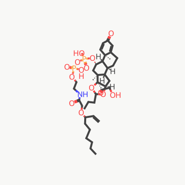 C=CC(CCCCCC)OCC(=O)NCCOP(=O)(O)OP(=O)(O)O[C@H]1C[C@@]2(C)[C@@H](C[C@H]3OC(CCC)O[C@]32C(=O)CO)[C@@H]2CCC3=CC(=O)C=C[C@]3(C)[C@H]21